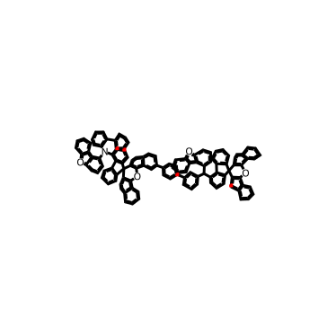 c1ccc(-c2ccccc2N(c2cccc3c2-c2ccccc2C32c3ccc4ccccc4c3Oc3c2ccc2ccc(-c4ccc(-c5cccc(C(c6cccc7c6-c6ccccc6C76c7ccc8ccccc8c7Oc7c6ccc6ccccc76)c6cccc7oc8ccccc8c67)c5)cc4)cc32)c2cccc3oc4ccccc4c23)cc1